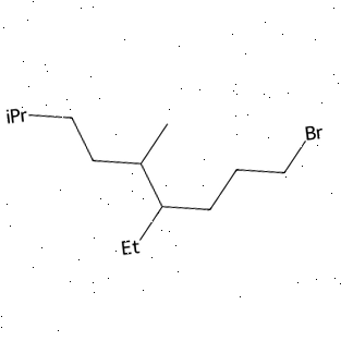 CCC(CCCBr)C(C)CCC(C)C